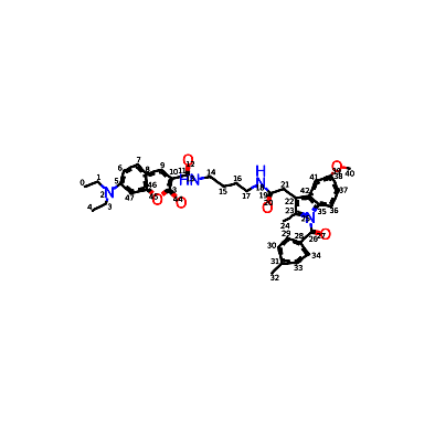 CCN(CC)c1ccc2cc(C(=O)NCCCCNC(=O)Cc3c(C)n(C(=O)c4ccc(C)cc4)c4ccc(OC)cc34)c(=O)oc2c1